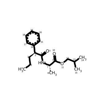 CCC[C@H](C(=O)N[C@@H](C)C(=O)OCC(C)C)c1ccccc1